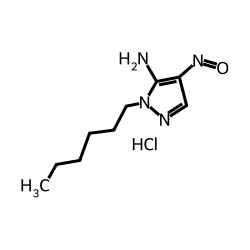 CCCCCCn1ncc(N=O)c1N.Cl